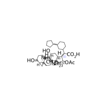 CC(=O)O[C@H]1C[C@@]2(C)[C@@H](C[C@@H](O)[C@@H]3[C@]2(N)CC[C@@]24C[C@@]2(CN)[C@H](O)CC[C@]34C)/C1=C(/C(=O)O)C1CCCC(=C2CCCC2)C1